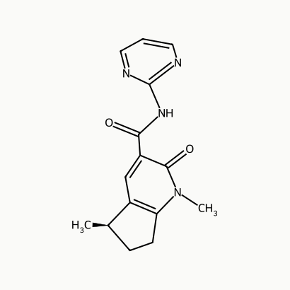 C[C@@H]1CCc2c1cc(C(=O)Nc1ncccn1)c(=O)n2C